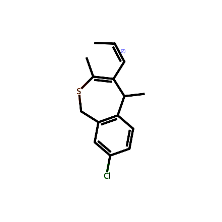 C/C=C\C1=C(C)SCc2cc(Cl)ccc2C1C